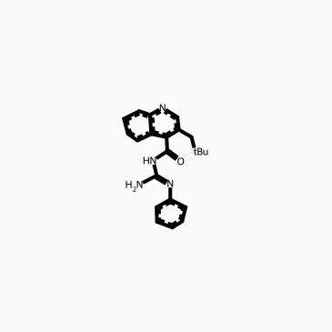 CC(C)(C)Cc1cnc2ccccc2c1C(=O)NC(N)=Nc1ccccc1